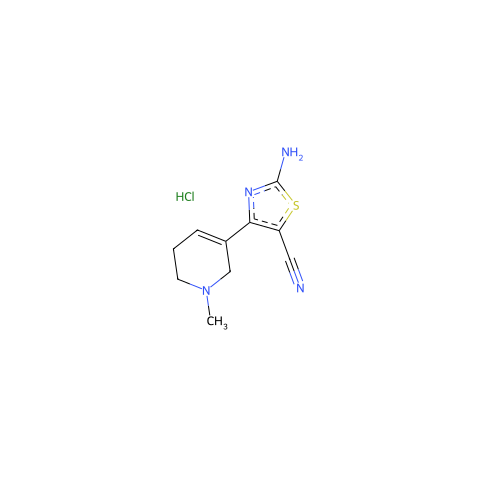 CN1CCC=C(c2nc(N)sc2C#N)C1.Cl